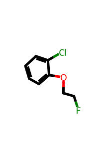 FCCOc1ccccc1Cl